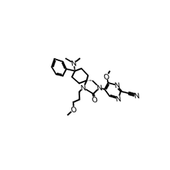 COCCCN1C(=O)N(c2cnc(C#N)nc2OC)C[C@]12CC[C@](c1ccccc1)(N(C)C)CC2